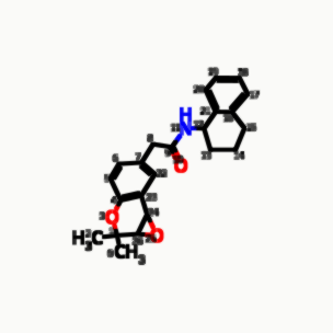 CC1(C)Oc2ccc(CC(=O)NC3CCCc4ccccc43)cc2C2OC21